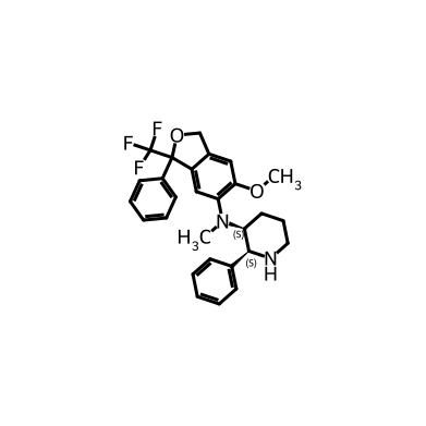 COc1cc2c(cc1N(C)[C@H]1CCCN[C@H]1c1ccccc1)C(c1ccccc1)(C(F)(F)F)OC2